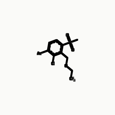 CC(=O)c1ccc(S(C)(=O)=O)c(COCC(F)(F)F)c1Cl